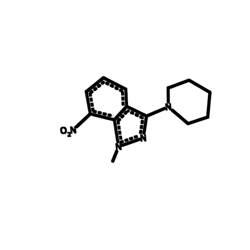 Cn1nc(N2CCCCC2)c2cccc([N+](=O)[O-])c21